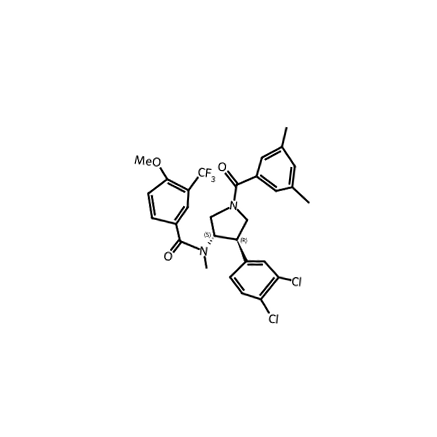 COc1ccc(C(=O)N(C)[C@@H]2CN(C(=O)c3cc(C)cc(C)c3)C[C@H]2c2ccc(Cl)c(Cl)c2)cc1C(F)(F)F